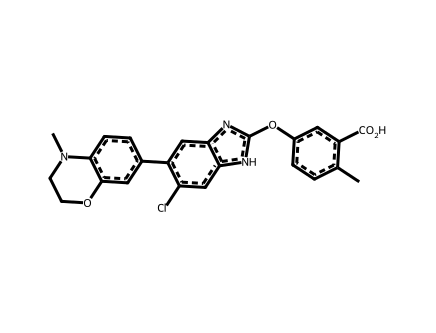 Cc1ccc(Oc2nc3cc(-c4ccc5c(c4)OCCN5C)c(Cl)cc3[nH]2)cc1C(=O)O